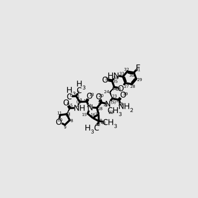 CC(C)[C@H](NC(=O)[C@H]1CCOC1)C(=O)N1CC2C(C1C(=O)N(C)[C@@H](C[C@@H]1Oc3ccc(F)cc3NC1=O)C(N)=O)C2(C)C